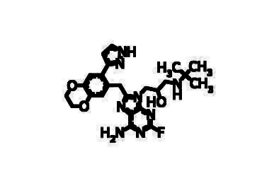 CC(C)(C)NCC(O)Cn1c(Cc2cc3c(cc2-c2cc[nH]n2)OCCO3)nc2c(N)nc(F)nc21